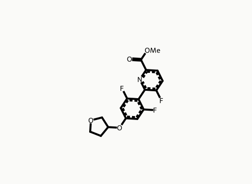 COC(=O)c1ccc(F)c(-c2c(F)cc(OC3CCOC3)cc2F)n1